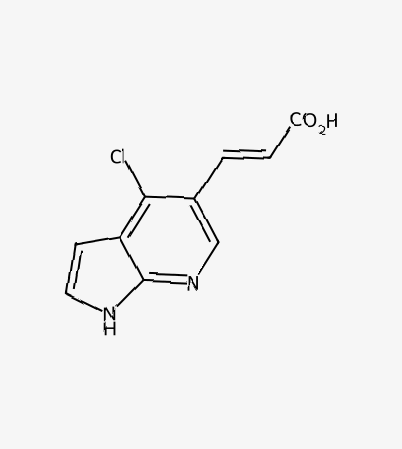 O=C(O)C=Cc1cnc2[nH]ccc2c1Cl